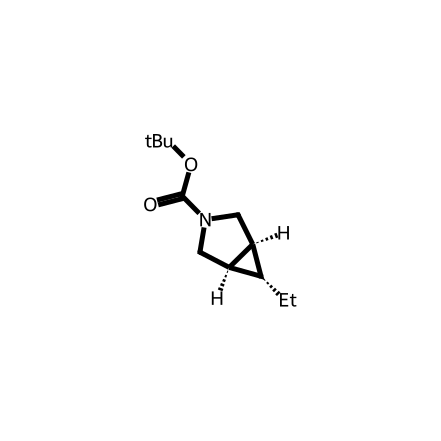 CC[C@@H]1[C@H]2CN(C(=O)OC(C)(C)C)C[C@@H]12